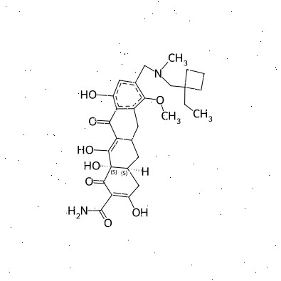 CCC1(CN(C)Cc2cc(O)c3c(c2OC)CC2C[C@H]4CC(O)=C(C(N)=O)C(=O)[C@@]4(O)C(O)=C2C3=O)CCC1